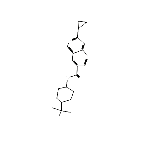 CC(C)(O)C1CCC(NC(=O)c2cnc3cc(C4CC4)ncc3c2)CC1